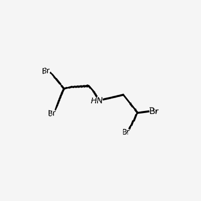 BrC(Br)CNCC(Br)Br